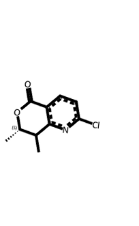 CC1c2nc(Cl)ccc2C(=O)O[C@H]1C